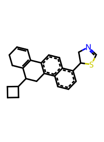 C1=CC2=C(CC1)C(C1CCC1)Cc1c2ccc2c(C3CN=CS3)cccc12